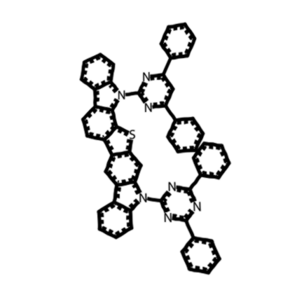 c1ccc(-c2cc(-c3ccccc3)nc(-n3c4ccccc4c4ccc5c6cc7c8ccccc8n(-c8nc(-c9ccccc9)nc(-c9ccccc9)n8)c7cc6sc5c43)n2)cc1